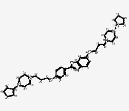 c1cc(-c2nc3ccc(OCCCN4CCN(N5CCCC5)CC4)cc3o2)ccc1OCCCN1CCN(C2CCCC2)CC1